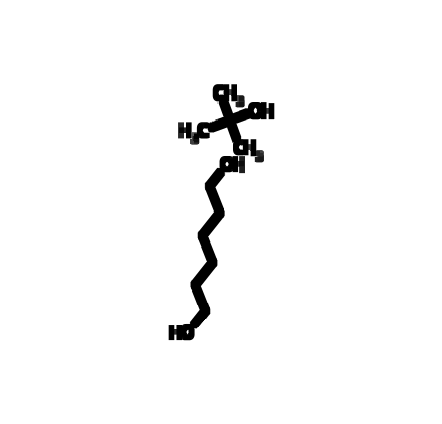 CC(C)(C)O.OCCCCCCO